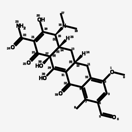 COc1cc(C=O)c(C)c2c1C[C@H]1C[C@H]3[C@H](N(C)C)C(O)=C(C(N)=O)C(=O)[C@@]3(O)C(O)=C1C2=O